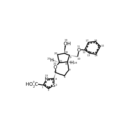 O=C(O)c1csc([C@H]2CC[C@@H]3[C@@H](COc4ccccc4)[C@H](O)C[C@@H]3O2)n1